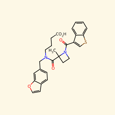 CC1(C(=O)N(CCCC(=O)O)Cc2ccc3ccoc3c2)CCN1C(=O)c1csc2ccccc12